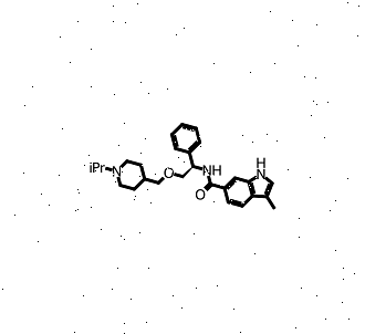 Cc1c[nH]c2cc(C(=O)N[C@@H](COCC3CCN(C(C)C)CC3)c3ccccc3)ccc12